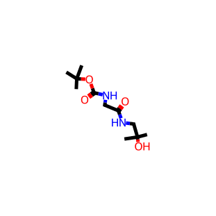 CC(C)(O)CNC(=O)CNC(=O)OC(C)(C)C